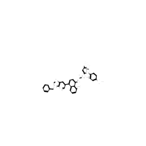 Cc1ccc(-n2nc(C(C)(C)C)cc2NC(=O)Nc2ccc(-c3cnc4c(c3)ncn4Cc3ccccc3)c3ccccc23)cc1